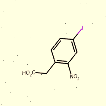 O=C(O)Cc1ccc(I)cc1[N+](=O)[O-]